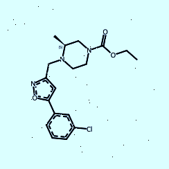 CCOC(=O)N1CCN(Cc2cc(-c3cccc(Cl)c3)on2)[C@@H](C)C1